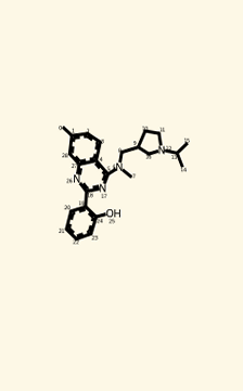 Cc1ccc2c(N(C)CC3CCN(C(C)C)C3)nc(-c3ccccc3O)nc2c1